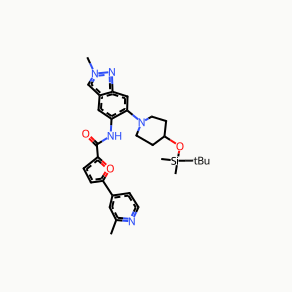 Cc1cc(-c2ccc(C(=O)Nc3cc4cn(C)nc4cc3N3CCC(O[Si](C)(C)C(C)(C)C)CC3)o2)ccn1